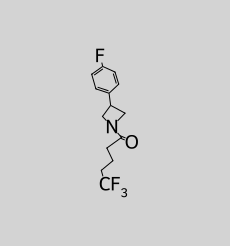 O=C(CCCC(F)(F)F)N1CC(c2ccc(F)cc2)C1